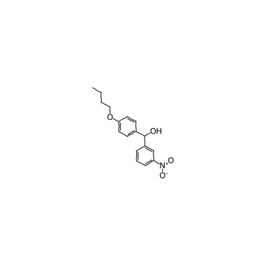 CCCCOc1ccc(C(O)c2cccc([N+](=O)[O-])c2)cc1